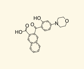 O=C(O)c1cc2ccccc2cc1C(=O)c1ccc(N2CCOCC2)cc1O